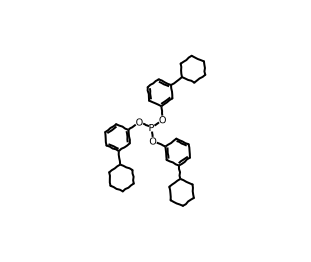 c1cc(OP(Oc2cccc(C3CCCCC3)c2)Oc2cccc(C3CCCCC3)c2)cc(C2CCCCC2)c1